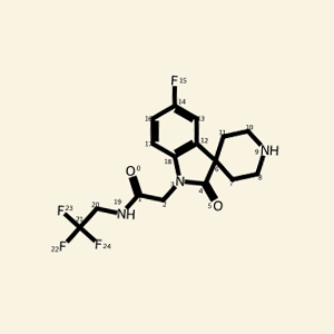 O=C(CN1C(=O)C2(CCNCC2)c2cc(F)ccc21)NCC(F)(F)F